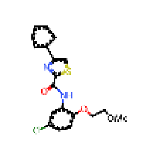 COCCOc1ccc(Cl)cc1NC(=O)c1nc(-c2ccccc2)cs1